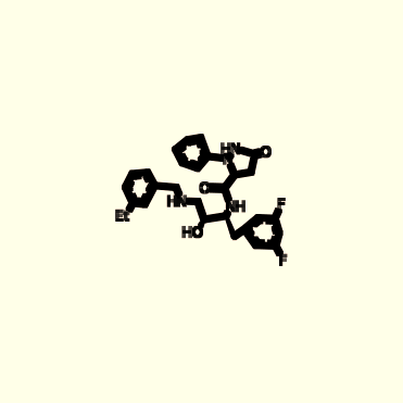 CCc1cccc(CNC[C@H](O)[C@H](Cc2cc(F)cc(F)c2)NC(=O)C2CC(=O)NN2c2ccccc2)c1